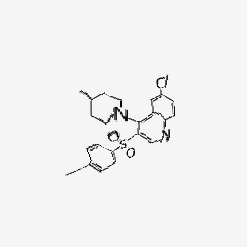 Cc1ccc(S(=O)(=O)c2cnc3ccc(Cl)cc3c2N2CCC(C)CC2)cc1